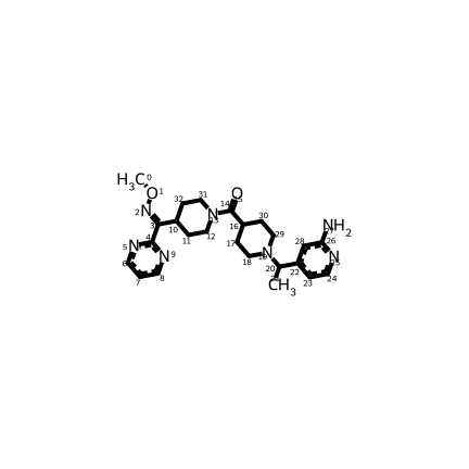 CON=C(c1ncccn1)C1CCN(C(=O)C2CCN(C(C)c3ccnc(N)c3)CC2)CC1